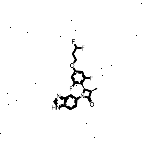 C[C@H]1C(=O)N(c2ccc3[nH]cnc3c2)[C@H]1c1c(F)cc(OCCC(F)F)cc1F